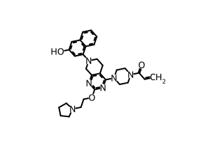 C=CC(=O)N1CCN(c2nc(OCCN3CCCC3)nc3c2CCN(c2cc(O)cc4ccccc24)C3)CC1